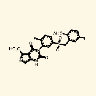 COc1ccc(F)cc1CS(=O)(=O)c1ccc(F)c(-n2c(=O)[nH]c3csc(C(=O)O)c3c2=O)c1